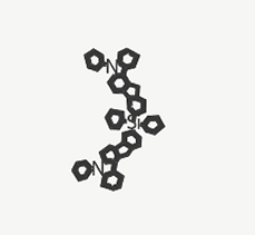 c1ccc(-n2c3ccccc3c3c4c(ccc32)-c2cc([Si](c3ccccc3)(c3ccccc3)c3ccc5c(c3)-c3ccc6c(c3C5)c3ccccc3n6-c3ccccc3)ccc2C4)cc1